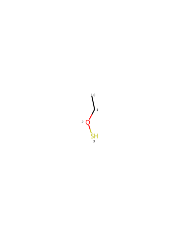 [CH2]COS